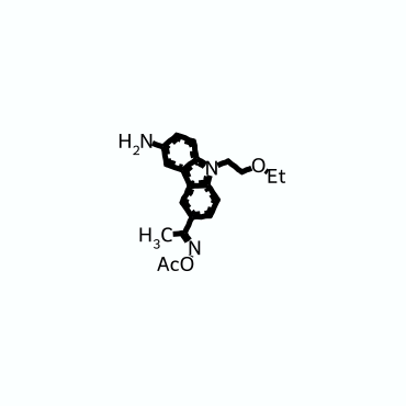 CCOCCn1c2ccc(N)cc2c2cc(/C(C)=N/OC(C)=O)ccc21